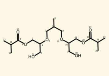 CC(COC(CO)COC(=O)C(C)C)COC(CO)COC(=O)C(C)C